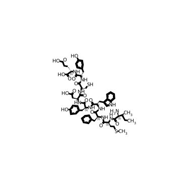 CC[C@H](C)[C@H](N)C(=O)N[C@@H](CCSC)C(=O)N[C@@H](Cc1ccccc1)C(=O)N[C@@H](Cc1c[nH]c2ccccc12)C(=O)N[C@@H](Cc1ccc(O)cc1)C(=O)N[C@@H](CC(=O)O)C(=O)N[C@@H](CS)C(=O)N[C@@H](Cc1ccc(O)cc1)C(=O)N[C@@H](CCC(=O)O)C(=O)O